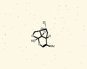 CC(=O)C1=CO[C@]2(O)OC[C@]3(O)[C@H](Cl)C[C@H]1[C@H]23